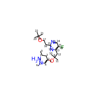 CCC/C(=C\N(C)N)OC(C)(C)Cc1nc(CCOC(C)(C)C)ncc1F